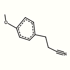 COc1ccc(CCC#N)cc1